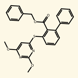 COc1cc(Sc2cccc(-c3ccccc3)c2C(=O)OCc2ccccc2)nc(OC)n1